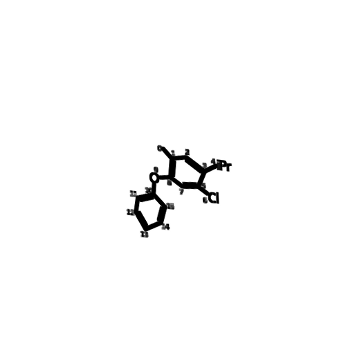 Cc1cc(C(C)C)c(Cl)cc1Oc1ccccc1